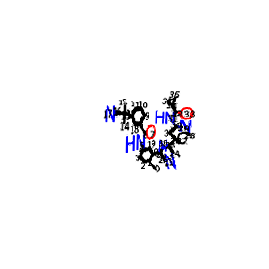 Cc1ccc(NC(=O)c2cccc(C(C)(C)C#N)c2)cc1-c1cncc(-c2ccnc(NC(=O)C3CC3)c2)n1